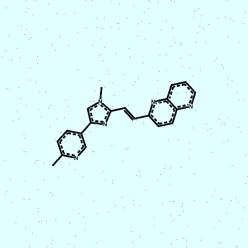 Cc1ccc(-c2cn(C)c(C=Cc3ccc4ncccc4n3)n2)cn1